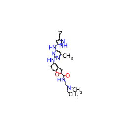 CCN(CC)CCNC(=O)c1cc2cc(Nc3nc(C)cc(Nc4cc(C5CC5)n[nH]4)n3)ccc2o1